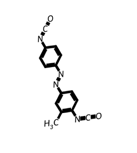 Cc1cc(N=Nc2ccc(N=C=O)cc2)ccc1N=C=O